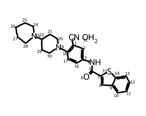 N#Cc1cc(NC(=O)c2cc3ccccc3s2)ccc1N1CCC(N2CCCCC2)CC1.O